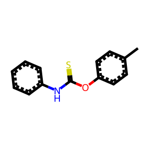 Cc1ccc(OC(=S)Nc2ccccc2)cc1